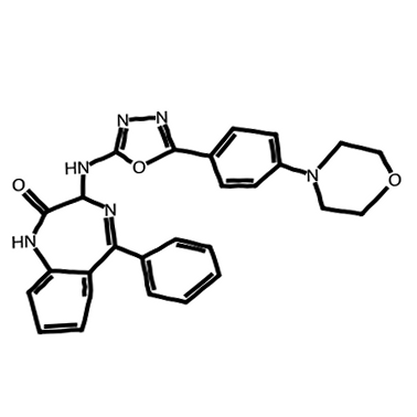 O=C1Nc2ccccc2C(c2ccccc2)=NC1Nc1nnc(-c2ccc(N3CCOCC3)cc2)o1